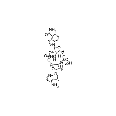 NC(=O)c1cccc2c1nnn2[C@@H]1O[C@@H]2COP(=O)(SS)O[C@H]3[C@@H](F)[C@H](n4cnc5c(N)ncnc54)O[C@@H]3CO[PH](=O)O[C@@H]1[C@@H]2O